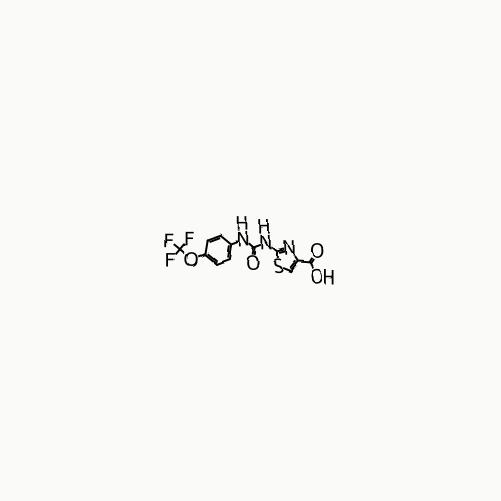 O=C(Nc1ccc(OC(F)(F)F)cc1)Nc1nc(C(=O)O)cs1